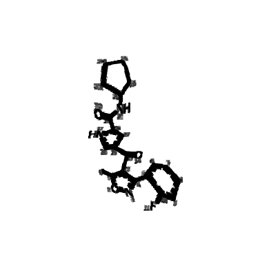 Cc1onc(-c2ccccc2F)c1C(=O)c1c[nH]c(C(=O)NC2CCCC2)c1